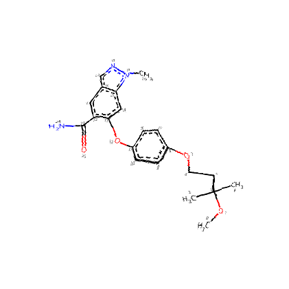 COC(C)(C)CCOc1ccc(Oc2cc3c(cnn3C)cc2C(N)=O)cc1